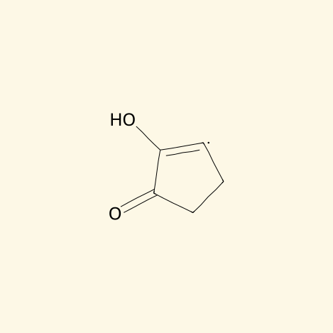 O=C1CC[C]=C1O